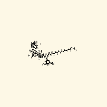 CCCCCCCCCCCCCCCCC[C@H](COP(=O)(O)OCC(C#N)(OC)[C@@H](O)[C@@H](O)c1ccc2c(N)ncnn12)OCc1cc(Cl)cc(C#N)c1